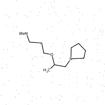 CNCCCOC(C)CN1CCCC1